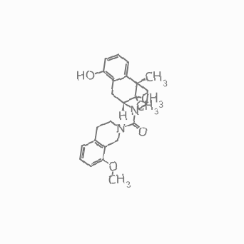 COc1cccc2c1CN(C(=O)N1CC[C@@]3(C)c4cccc(O)c4C[C@@H]1C3(C)C)CC2